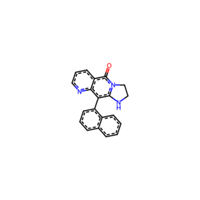 O=c1c2cccnc2c(-c2cccc3ccccc23)c2n1CCN2